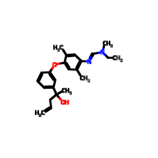 C=CCC(C)(O)c1cccc(Oc2cc(C)c(N=CN(C)CC)cc2C)c1